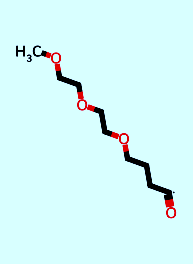 COCCOCCOCCC[C]=O